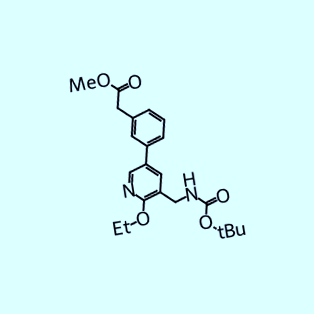 CCOc1ncc(-c2cccc(CC(=O)OC)c2)cc1CNC(=O)OC(C)(C)C